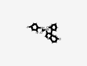 O=C(Nc1ccc(F)cc1F)Nc1cnc2ccc(Cl)cc2c1-c1ccccc1Cl